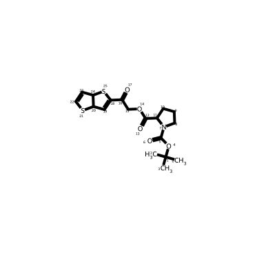 CC(C)(C)OC(=O)N1CCCC1C(=O)OCC(=O)C1=CC2SC=CC2S1